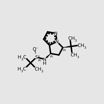 CC(C)(C)[C@H]1C[C@@H](N[S@@+]([O-])C(C)(C)C)c2ccnn21